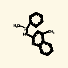 Cc1cc(N[C@H](C)c2ccccc2)nc2ccccc12